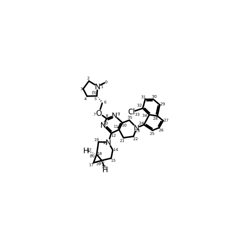 CN1CCC[C@H]1COc1nc2c(c(N3CC[C@@H]4C[C@H]4C3)n1)CCN(c1cccc3cccc(Cl)c13)C2